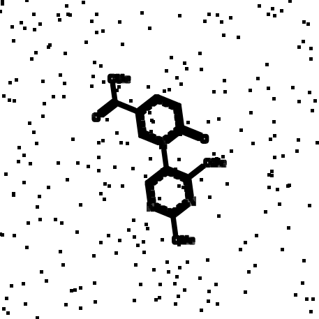 COC(=O)c1ccc(=O)n(-c2cnc(OC)nc2OC)c1